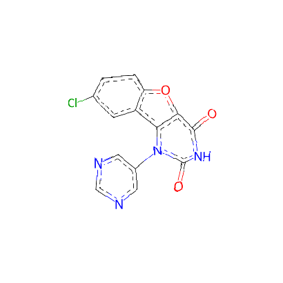 O=c1[nH]c(=O)n(-c2cncnc2)c2c1oc1ccc(Cl)cc12